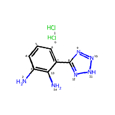 Cl.Cl.Nc1cccc(-c2nn[nH]n2)c1N